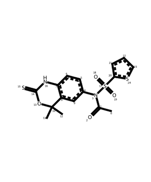 CC(=O)N(c1ccc2c(c1)C(C)(C)OC(=S)N2)S(=O)(=O)c1cccs1